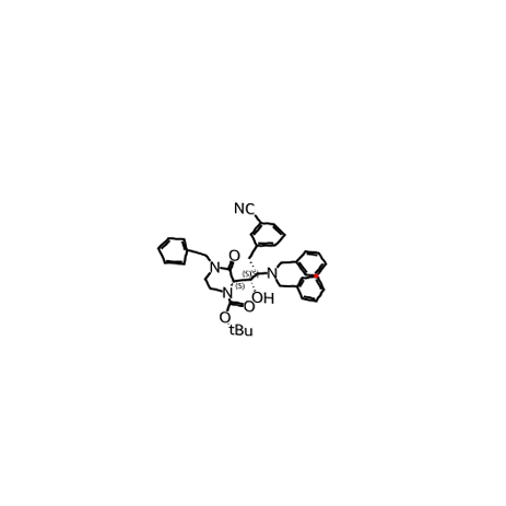 CC(C)(C)OC(=O)N1CCN(Cc2ccccc2)C(=O)[C@@H]1[C@@H](O)[C@H](Cc1cccc(C#N)c1)N(Cc1ccccc1)Cc1ccccc1